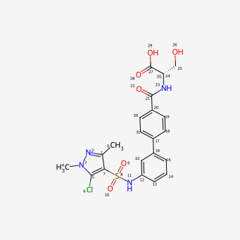 Cc1nn(C)c(Cl)c1S(=O)(=O)Nc1cccc(-c2ccc(C(=O)N[C@@H](CO)C(=O)O)cc2)c1